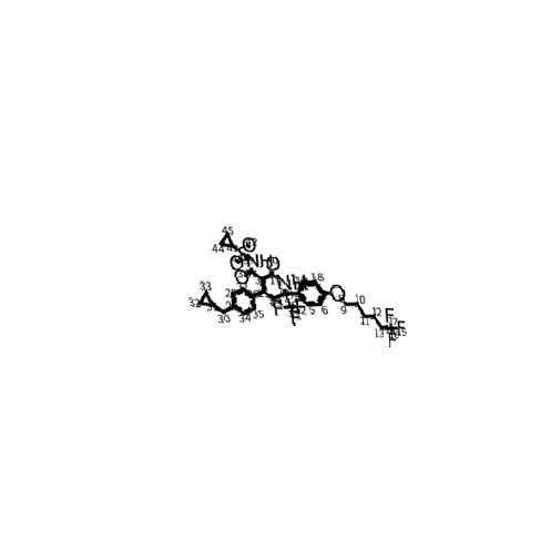 O=C1N[C@@](c2ccc(OCCCCCC(F)(F)F)cc2)(C(F)(F)F)CC(c2ccc(CC3CC3)cc2)=C1C(=O)NS(=O)(=O)C1CC1